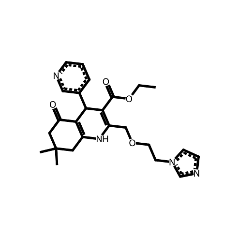 CCOC(=O)C1=C(COCCn2ccnc2)NC2=C(C(=O)CC(C)(C)C2)C1c1cccnc1